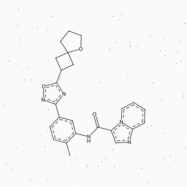 Cc1ccc(-c2noc(C3CC4(CCCO4)C3)n2)cc1NC(=O)c1cnc2ccccn12